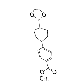 COC(=O)c1ccc(C2CCC(C3OCCO3)CC2)cc1